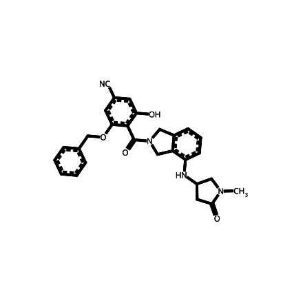 CN1CC(Nc2cccc3c2CN(C(=O)c2c(O)cc(C#N)cc2OCc2ccccc2)C3)CC1=O